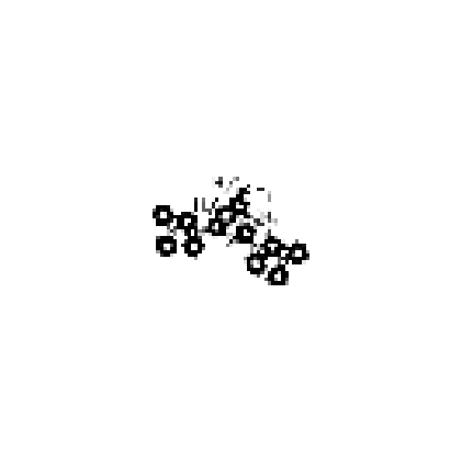 CC(C)c1cc(C(C)C)c(B2c3ccc(-n4c5ccccc5c5c4ccc4c6ccccc6n(-c6ccccc6)c45)cc3Sc3cc(-n4c5ccccc5c5c4ccc4c6ccccc6n(-c6ccccc6)c45)ccc32)c(C(C)C)c1